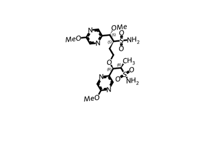 COc1cnc([C@@H](OCC[C@@H]([C@@H](OC)c2cnc(OC)cn2)S(N)(=O)=O)[C@@H](C)S(N)(=O)=O)cn1